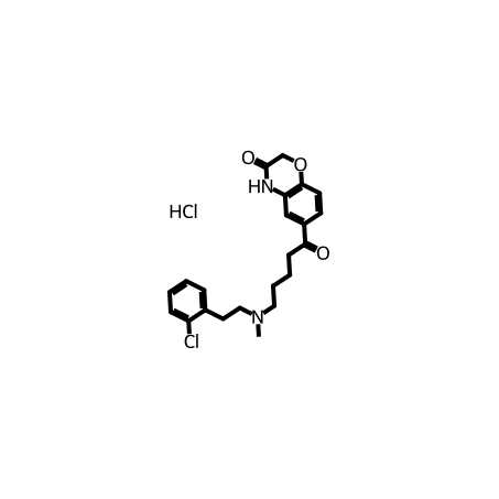 CN(CCCCC(=O)c1ccc2c(c1)NC(=O)CO2)CCc1ccccc1Cl.Cl